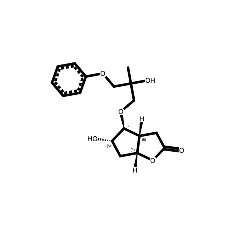 CC(O)(COc1ccccc1)CO[C@H]1[C@@H]2CC(=O)O[C@@H]2C[C@@H]1O